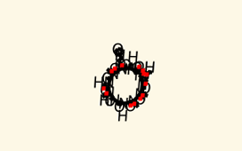 C/C=C/C[C@@H](C)[C@@H](O)[C@H]1C(=O)N[C@@H](CC)C(=O)N(C)[C@H](COCCN2CCOCC2)C(=O)N(C)[C@@H](CC(C)C)C(=O)N[C@@H](C(C)C)C(=O)N(C)[C@@H](CC(C)C)C(=O)N[C@@H](C)C(=O)N[C@@H](C)C(=O)N(C)[C@@H](CC(C)C)C(=O)N(C)[C@@H](CC(C)C)C(=O)N(C)[C@@H](C(C)C)C(=O)N1C